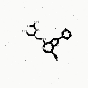 N#Cc1cnc(NC[C@@H](CO)NC(=O)O)c2cc(-c3ccccc3)sc12